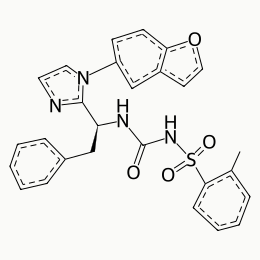 Cc1ccccc1S(=O)(=O)NC(=O)N[C@@H](Cc1ccccc1)c1nccn1-c1ccc2occc2c1